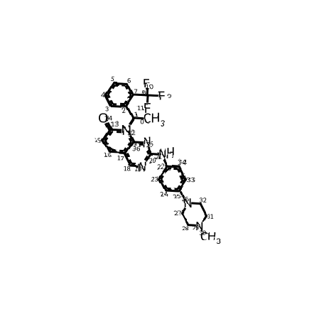 CC(c1ccccc1C(F)(F)F)n1c(=O)ccc2cnc(Nc3ccc(N4CCN(C)CC4)cc3)nc21